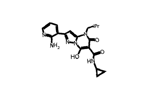 CC(C)Cn1c(=O)c(C(=O)NC2CC2)c(O)n2nc(-c3cccnc3N)cc12